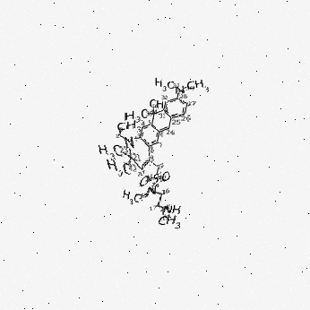 CC[N+]1=c2cc3c(cc2C(CS(=O)(=O)N(C)CCNC)=CC1(C)C)=Cc1ccc(N(C)C)cc1C3(C)C